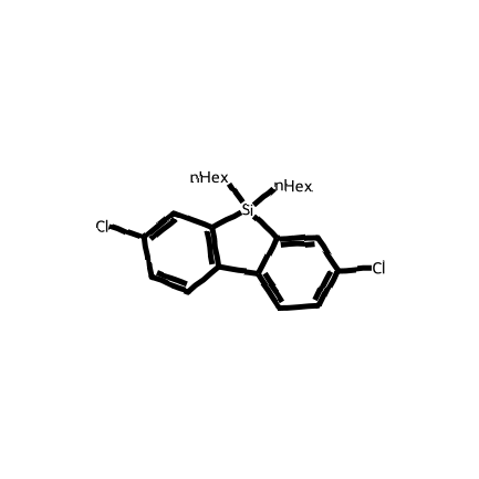 CCCCCC[Si]1(CCCCCC)c2cc(Cl)ccc2-c2ccc(Cl)cc21